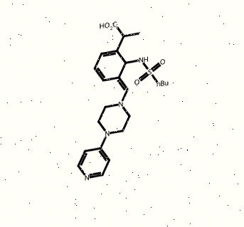 CCCCS(=O)(=O)NC1C(=CN2CCN(c3ccncc3)CC2)C=CC=C1C(C)C(=O)O